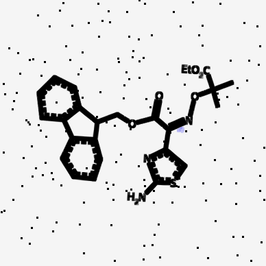 CCOC(=O)C(C)(C)O/N=C(\C(=O)OCC1c2ccccc2-c2ccccc21)c1csc(N)n1